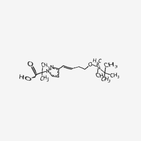 CC(C)(C(=O)O)n1ccc(/C=C/CCO[Si](C)(C)C(C)(C)C)n1